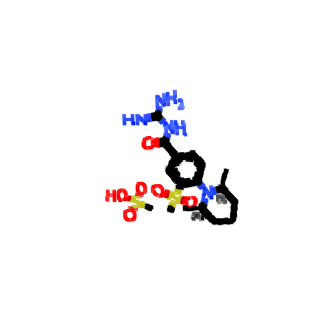 CS(=O)(=O)O.C[C@@H]1CCC[C@H](C)N1c1ccc(C(=O)NC(=N)N)cc1S(C)(=O)=O